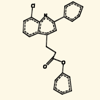 O=C(CCc1cc(-c2ccccc2)nc2c(Cl)cccc12)Oc1ccccc1